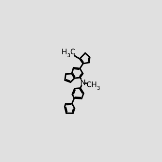 CCC1=C(c2cc3c(c(N(C)c4ccc(-c5ccccc5)cc4)c2)C=CC3)C=CC1